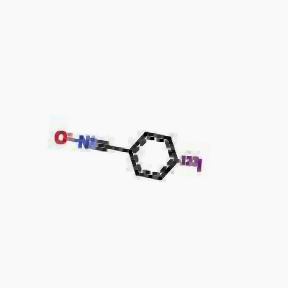 [O-][N+]#Cc1ccc([123I])cc1